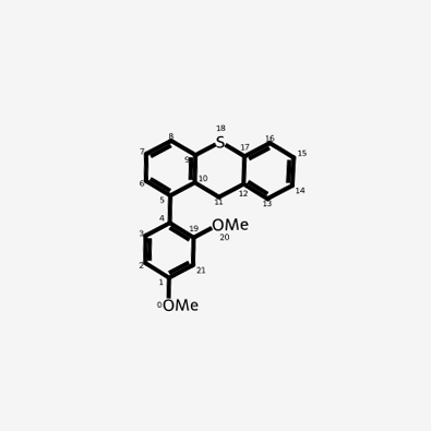 COc1ccc(-c2cccc3c2Cc2ccccc2S3)c(OC)c1